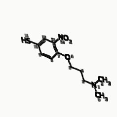 CN(C)CCCOc1ccc(S)cc1[N+](=O)[O-]